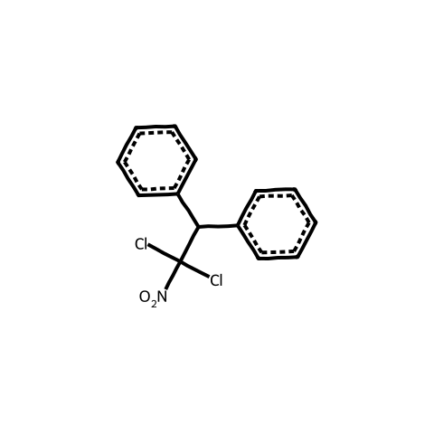 O=[N+]([O-])C(Cl)(Cl)C(c1ccccc1)c1ccccc1